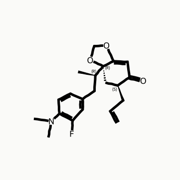 C=CC[C@H]1C[C@]2([C@H](C)Cc3ccc(N(C)C)c(F)c3)OCOC2=CC1=O